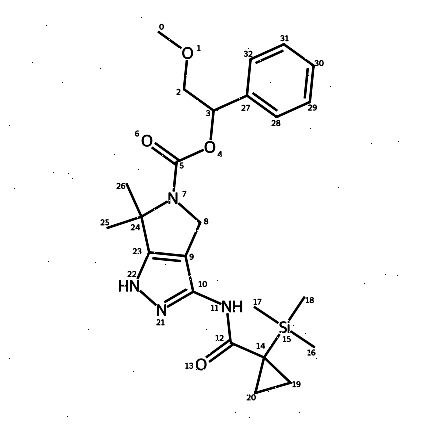 COCC(OC(=O)N1Cc2c(NC(=O)C3([Si](C)(C)C)CC3)n[nH]c2C1(C)C)c1ccccc1